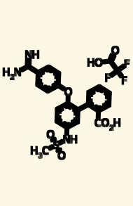 CS(=O)(=O)Nc1ccc(Oc2ccc(C(=N)N)cc2)c(-c2ccccc2C(=O)O)c1.O=C(O)C(F)(F)F